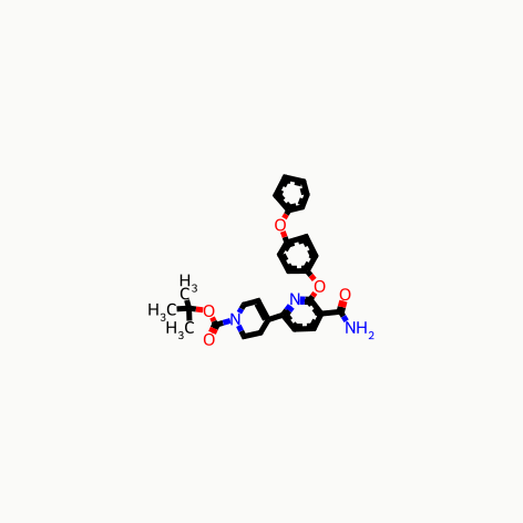 CC(C)(C)OC(=O)N1CC=C(c2ccc(C(N)=O)c(Oc3ccc(Oc4ccccc4)cc3)n2)CC1